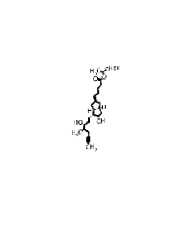 CC#CCC(C)[C@H](O)/C=C/[C@@H]1[C@H]2C/C(=C/CCCC(=O)O[C@@H](C)CCCCCC)C[C@H]2C[C@H]1O